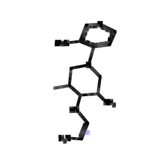 CNc1cnccc1N1CC(C)C(N/C=C\N)C(N)C1